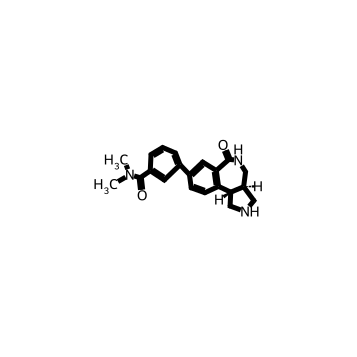 CN(C)C(=O)c1cccc(-c2ccc3c(c2)C(=O)NC[C@H]2CNC[C@H]32)c1